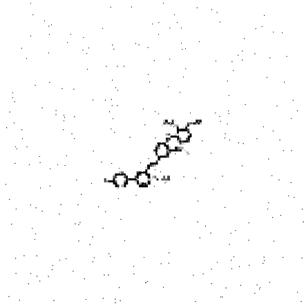 COc1cccc(Oc2ccc(/C=C/c3cc(-c4ccc(F)cc4)ccc3C(=O)O)cc2[N+](=O)[O-])c1OC